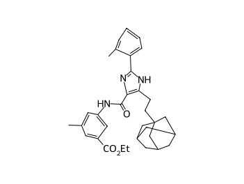 CCOC(=O)c1cc(C)cc(NC(=O)c2nc(-c3ccccc3C)[nH]c2CCC23CC4CC(CC(C4)C2)C3)c1